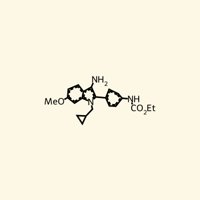 CCOC(=O)Nc1ccc(-c2c(N)c3ccc(OC)cc3n2CC2CC2)cc1